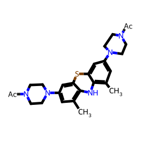 CC(=O)N1CCN(c2cc(C)c3c(c2)Sc2cc(N4CCN(C(C)=O)CC4)cc(C)c2N3)CC1